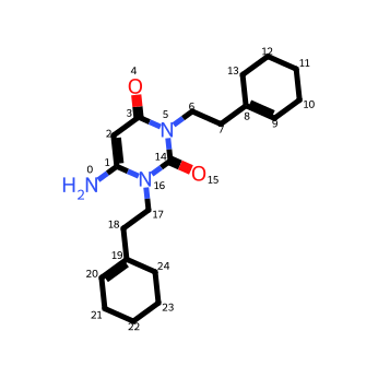 Nc1cc(=O)n(CCC2=CCCCC2)c(=O)n1CCC1=CCCCC1